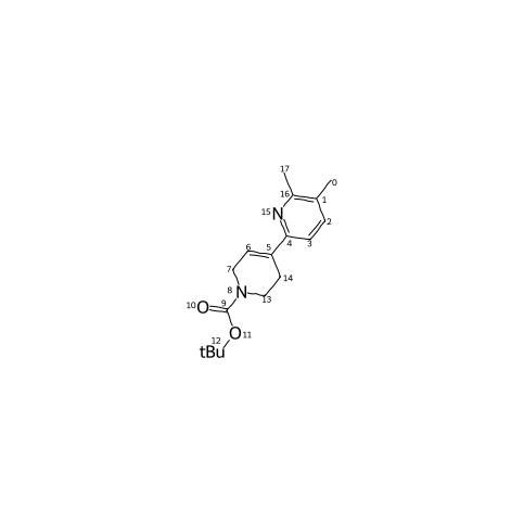 Cc1ccc(C2=CCN(C(=O)OC(C)(C)C)CC2)nc1C